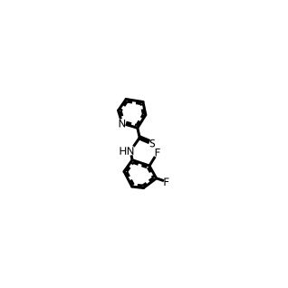 Fc1cccc(NC(=S)c2ccccn2)c1F